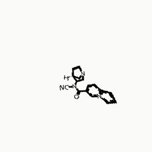 N#CN(C(=O)c1ccc2cccn2c1)C1CN2CC[C@H]1C2